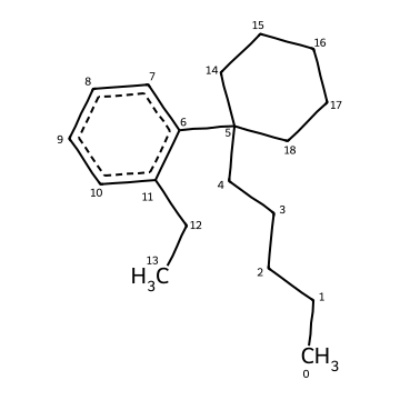 CCCCCC1(c2ccccc2CC)CCCCC1